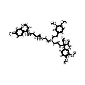 COc1ccc(CCN(CCCC(C#N)(c2ccc(OC)c(OC)c2)C(C)C)CCNCCCNc2ccnc3cc(Cl)ccc23)cc1OC